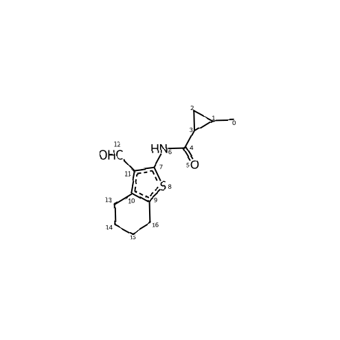 CC1CC1C(=O)Nc1sc2c(c1C=O)CCCC2